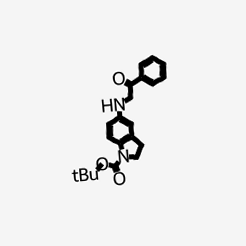 CC(C)(C)OC(=O)N1CCc2cc(NCC(=O)c3ccccc3)ccc21